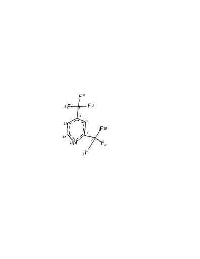 FC(F)(F)c1[c]c(C(F)(F)F)ncc1